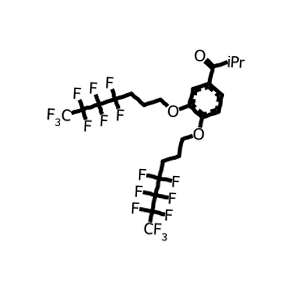 CC(C)C(=O)c1ccc(OCCCC(F)(F)C(F)(F)C(F)(F)C(F)(F)F)c(OCCCC(F)(F)C(F)(F)C(F)(F)C(F)(F)F)c1